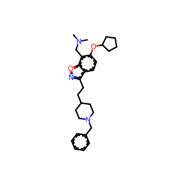 CN(C)Cc1c(OC2CCCC2)ccc2c(CCC3CCN(Cc4ccccc4)CC3)noc12